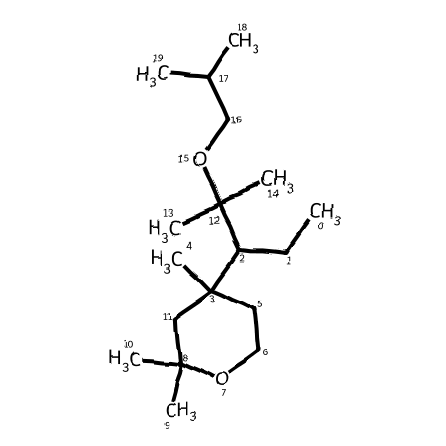 CCC(C1(C)CCOC(C)(C)C1)C(C)(C)OCC(C)C